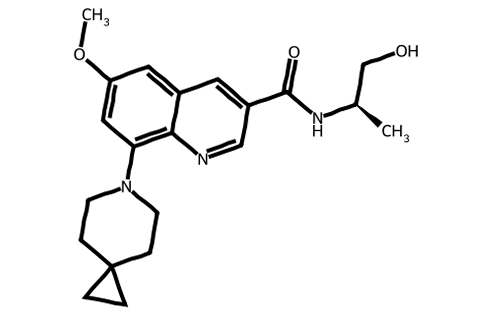 COc1cc(N2CCC3(CC2)CC3)c2ncc(C(=O)N[C@H](C)CO)cc2c1